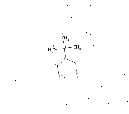 CC(C)(C)C(CN)CF